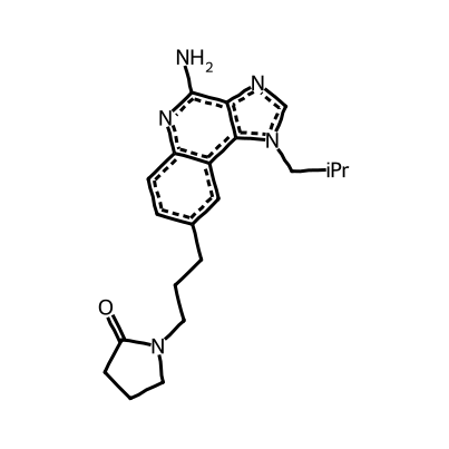 CC(C)Cn1cnc2c(N)nc3ccc(CCCN4CCCC4=O)cc3c21